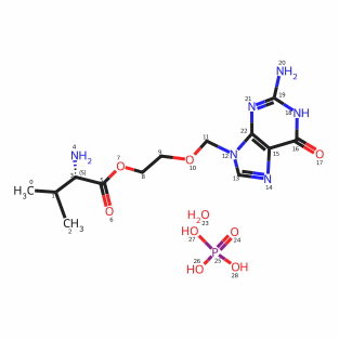 CC(C)[C@H](N)C(=O)OCCOCn1cnc2c(=O)[nH]c(N)nc21.O.O=P(O)(O)O